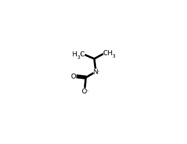 CC(C)[N]C([O])=O